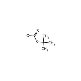 CC(C)(C)SC([O])=S